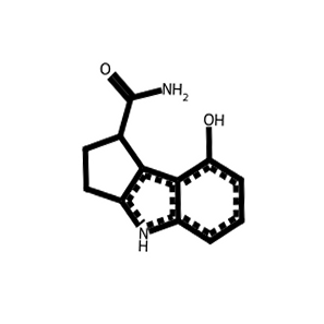 NC(=O)C1CCc2[nH]c3cccc(O)c3c21